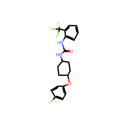 O=C(Nc1ccccc1C(F)(F)F)NC1CCC(Oc2ccc(F)cc2)CC1